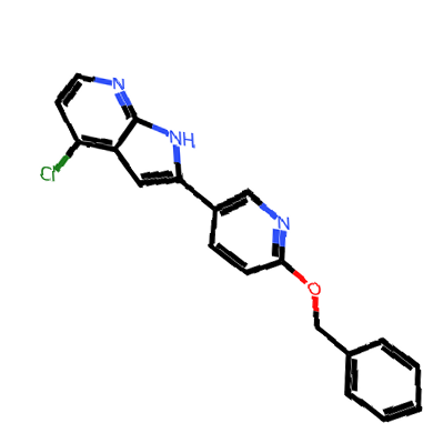 Clc1ccnc2[nH]c(-c3ccc(OCc4ccccc4)nc3)cc12